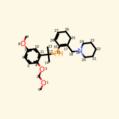 COCOc1ccc(OC)cc1C(C)(C)PC1=C(CN2CCCCC2)CCC=C1